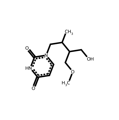 COCC(CO)C(C)Cn1ccc(=O)[nH]c1=O